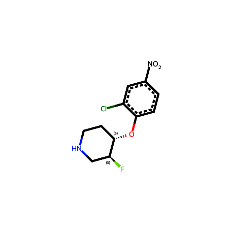 O=[N+]([O-])c1ccc(O[C@H]2CCNC[C@@H]2F)c(Cl)c1